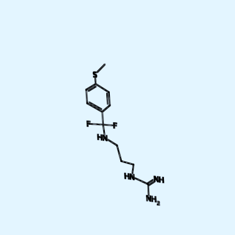 CSc1ccc(C(F)(F)NCCCNC(=N)N)cc1